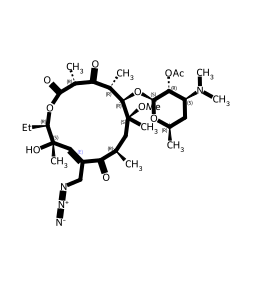 CC[C@H]1OC(=O)[C@H](C)C(=O)[C@H](C)[C@@H](O[C@@H]2O[C@H](C)C[C@H](N(C)C)[C@H]2OC(C)=O)[C@@](C)(OC)C[C@@H](C)C(=O)/C(CN=[N+]=[N-])=C/[C@]1(C)O